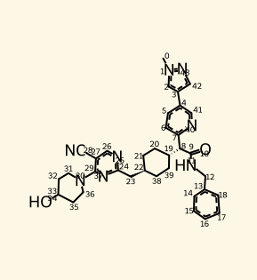 Cn1cc(-c2ccc(C(C(=O)NCc3ccccc3)[C@H]3CC[C@H](Cc4ncc(C#N)c(N5CCC(O)CC5)n4)CC3)nc2)cn1